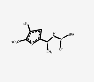 C[C@H](N[S+]([O-])C(C)(C)C)c1cc(C(C)(C)C)c(C(=O)O)s1